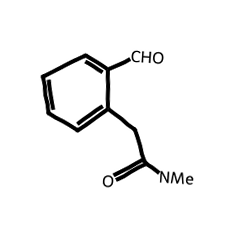 [CH2]NC(=O)Cc1ccccc1C=O